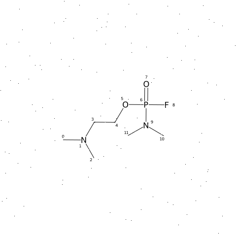 CN(C)CCOP(=O)(F)N(C)C